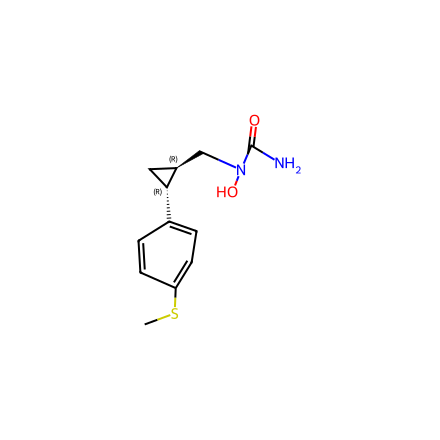 CSc1ccc([C@@H]2C[C@H]2CN(O)C(N)=O)cc1